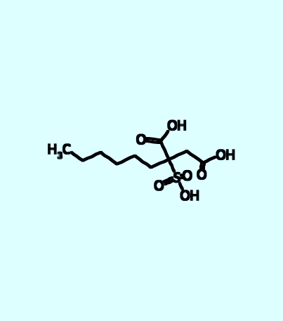 CCCCCCC(CC(=O)O)(C(=O)O)S(=O)(=O)O